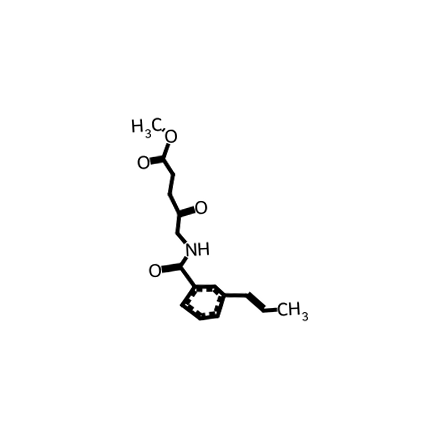 C/C=C/c1cccc(C(=O)NCC(=O)CCC(=O)OC)c1